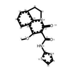 COc1c(C(=O)Nc2nccs2)c(=O)n2c3c(cccc13)CC2